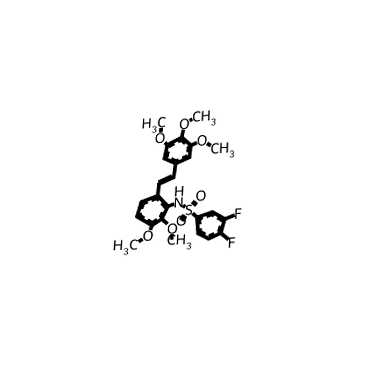 COc1cc(C=Cc2ccc(OC)c(OC)c2NS(=O)(=O)c2ccc(F)c(F)c2)cc(OC)c1OC